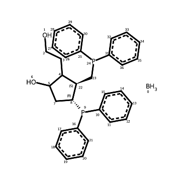 B.OCCC1C(O)C[C@@H](P(c2ccccc2)c2ccccc2)[C@@H]1CP(c1ccccc1)c1ccccc1